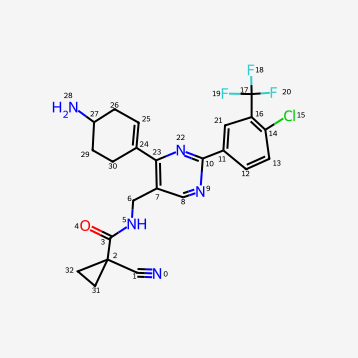 N#CC1(C(=O)NCc2cnc(-c3ccc(Cl)c(C(F)(F)F)c3)nc2C2=CCC(N)CC2)CC1